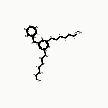 CCCCCCCc1cc(CCCCCCC)cc(Cc2ccccc2)c1